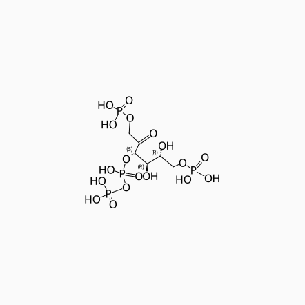 O=C(COP(=O)(O)O)[C@@H](OP(=O)(O)OP(=O)(O)O)[C@H](O)[C@H](O)COP(=O)(O)O